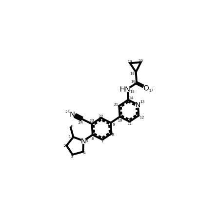 CC1CCCN1c1ccc(-c2ccnc(NC(=O)C3CC3)c2)cc1C#N